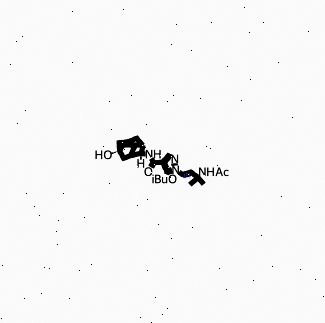 CC(=O)NC(C)(C)/C=C/n1ncc(C(=O)N[C@H]2C3CC4CC2C[C@](O)(C4)C3)c1OCC(C)C